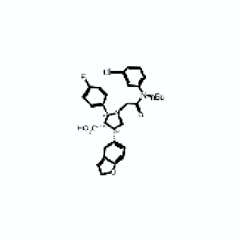 CCCCN(C(=O)CN1C[C@H](C2=CC=C3OCC=C3C2)[C@H](C(=O)O)[C@H]1c1ccc(F)cc1)c1cccc(Cl)c1